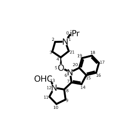 CC(C)N1CC[C@H](On2c(C3CCCN3C=O)cc3ccccc32)C1